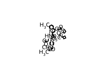 CCOC(=O)CC[C@H](NC(=O)c1cc(OCC(=O)N2CCC[C@H]2C(=O)N(C)C2CCC2)c2ccc(C)cc2n1)C(=O)N1CCN(C(=O)OCC)CC1